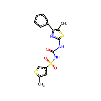 Cc1cc(S(=O)(=O)NC(=O)Nc2nc(-c3ccccc3)c(C)s2)cs1